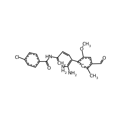 C=C(/C=C\C(=C(N)N)c1cc(C)c(C=O)cc1OC)NC(=O)c1ccc(Cl)cc1